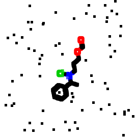 CC(c1ccccc1)N(Cl)CCCOC=O